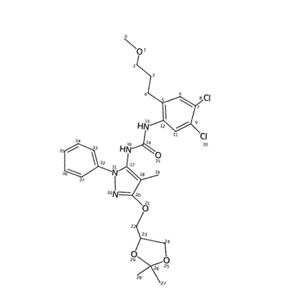 COCCCc1cc(Cl)c(Cl)cc1NC(=O)Nc1c(C)c(OCC2COC(C)(C)O2)nn1-c1ccccc1